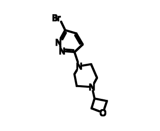 Brc1ccc(N2CCN(C3COC3)CC2)nn1